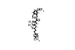 Cc1nnc(CCC(F)CN(N)/C=C(\N)C(=O)NCc2cc(OC(F)(F)F)ccc2F)s1